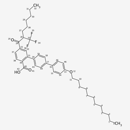 CCCCCCCCCCCCOc1ccc(-c2ccc(-c3cc(C(=O)C(CCCCCC)C(F)(F)F)ccc3C(=O)O)cc2)cc1